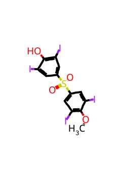 COc1c(I)cc(S(=O)(=O)c2cc(I)c(O)c(I)c2)cc1I